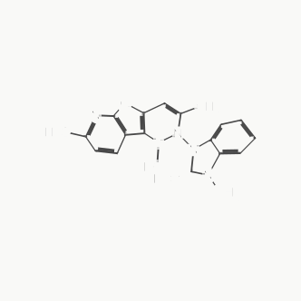 CB1c2c(oc3nc(C)ccc23)C=C(C)N1N1c2ccccc2N(C)[C@@H]1C